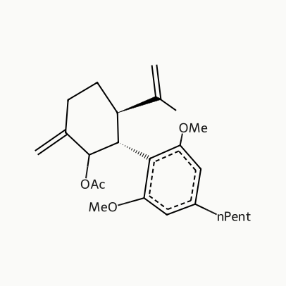 C=C1CC[C@@H](C(=C)C)[C@H](c2c(OC)cc(CCCCC)cc2OC)C1OC(C)=O